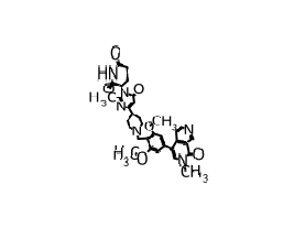 COc1cc(-c2cn(C)c(=O)c3cnccc23)cc(OC)c1CN1CCC(c2cc(=O)n(C3CCC(=O)NC3=O)c(C)n2)CC1